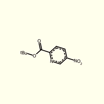 CC(C)(C)OC(=O)c1ccc([N+](=O)[O-])cn1